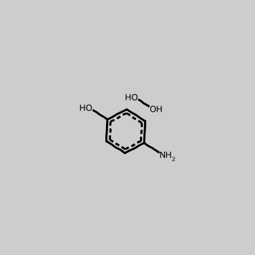 Nc1ccc(O)cc1.OO